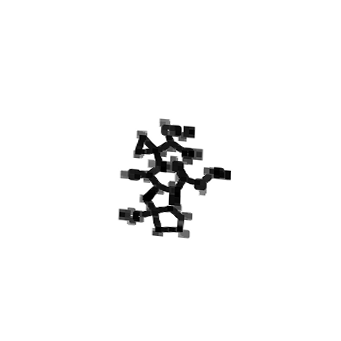 CC1(C[C@H](NC(=O)OC(C)(C)C)C(=O)NC2(C(O)C(=O)O)CC2)CCCC1